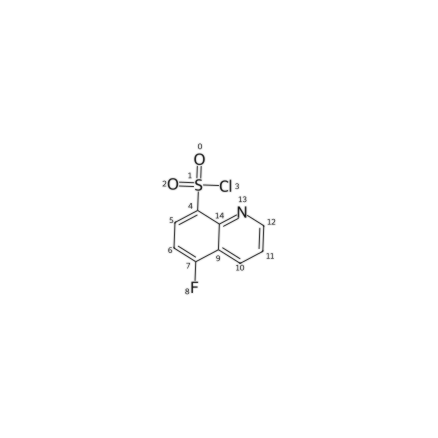 O=S(=O)(Cl)c1ccc(F)c2cccnc12